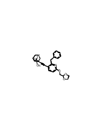 O[C@]1(C#Cc2ccc(OCC3OCCO3)nc2Cc2ccccc2)CN2CCC1CC2